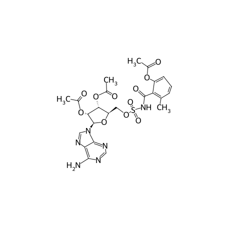 CC(=O)Oc1cccc(C)c1C(=O)NS(=O)(=O)OC[C@H]1O[C@@H](n2cnc3c(N)ncnc32)[C@H](OC(C)=O)[C@@H]1OC(C)=O